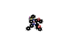 CC1(C)c2ccccc2Oc2cc3c(cc21)N(c1ccc(-c2ccccc2)cc1)B1c2cccc4c2N(c2ccccc2[SH]4(C)(C)I)c2cc4oc5ccccc5c4c-3c21